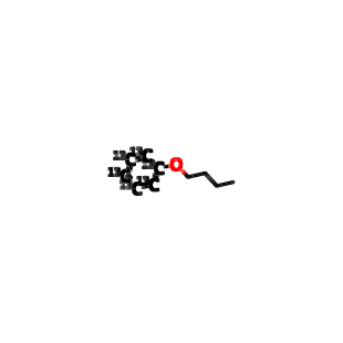 CCCCO[13c]1[13cH][13cH][13cH][13cH][13cH]1